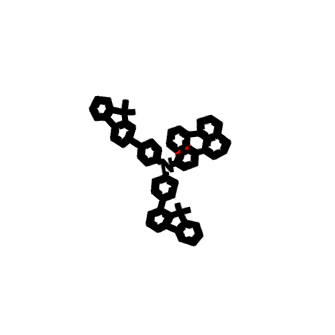 CC1(C)c2ccccc2-c2ccc(-c3ccc(N(c4ccc(-c5cccc6c5C(C)(C)c5ccccc5-6)cc4)c4ccc(-c5cccc6cccc(-c7ccccc7)c56)cc4)cc3)cc21